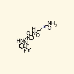 C=C(C)C(F)(F)c1cccc2[nH]c(Cn3cccc(NC(=O)CCC/C=C/C(N)=O)c3=O)nc12